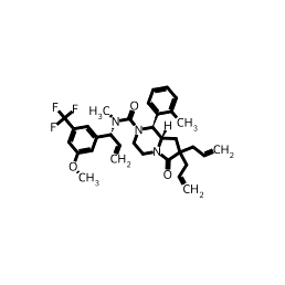 C=CCC1(CC=C)C[C@H]2[C@H](c3ccccc3C)N(C(=O)N(C)[C@H](C=C)c3cc(OC)cc(C(F)(F)F)c3)CCN2C1=O